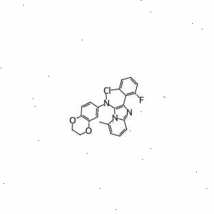 Cc1cccc2nc(-c3c(F)cccc3Cl)c(N(C)c3ccc4c(c3)OCCO4)n12